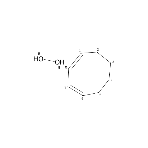 C1=CCCCCC=C1.OO